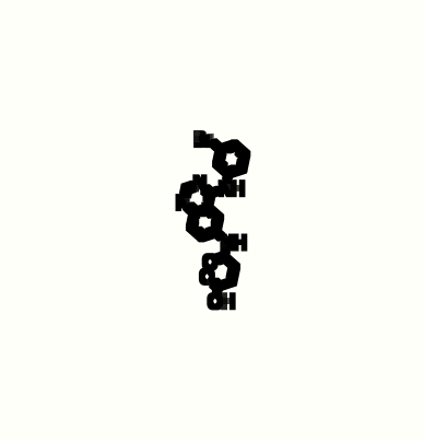 O=C(O)/C=C\C(=O)Nc1ccc2ncnc(Nc3cccc(Br)c3)c2c1